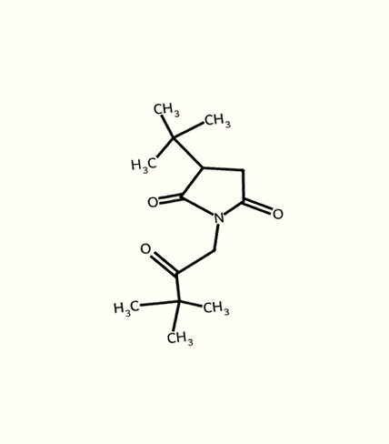 CC(C)(C)C(=O)CN1C(=O)CC(C(C)(C)C)C1=O